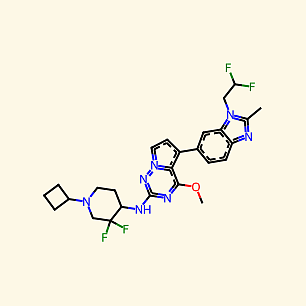 COc1nc(NC2CCN(C3CCC3)CC2(F)F)nn2ccc(-c3ccc4nc(C)n(CC(F)F)c4c3)c12